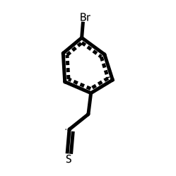 S=[C]Cc1ccc(Br)cc1